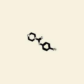 CC(C)c1ccc(SC(=S)N2CCOCC2)cc1